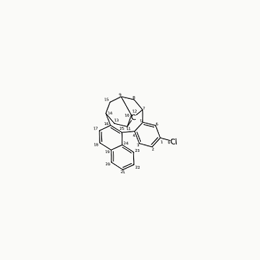 Clc1ccc2c(c1)C1CC3CC(C1)CC(C3)c1ccc3ccccc3c1-2